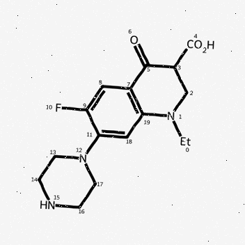 CCN1CC(C(=O)O)C(=O)c2cc(F)c(N3CCNCC3)cc21